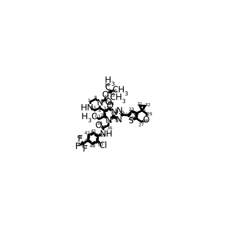 CCc1c(C2CNCCN2C(=O)OC(C)(C)C)c(=O)n2nc(-c3cc4c(s3)COCC43CC3)nc2n1CC(=O)Nc1ccc(C(F)(F)F)cc1Cl